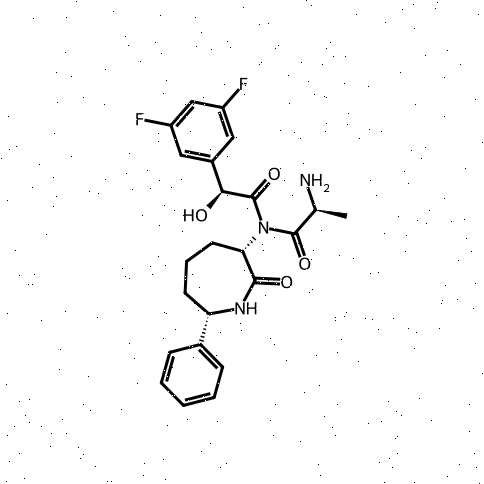 C[C@H](N)C(=O)N(C(=O)[C@@H](O)c1cc(F)cc(F)c1)[C@H]1CCC[C@@H](c2ccccc2)NC1=O